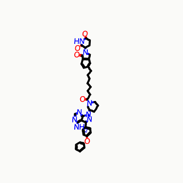 Nc1ncnc2c1c(-c1ccc(Oc3ccccc3)cc1)nn2C1CCCN(C(=O)CCCCCCCc2ccc3c(c2)CN(C2CCC(=O)NC2=O)C3=O)C1